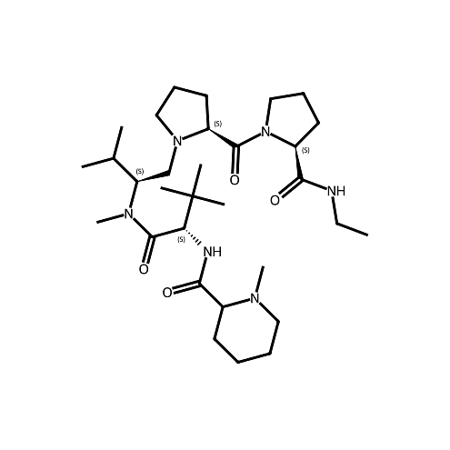 CCNC(=O)[C@@H]1CCCN1C(=O)[C@@H]1CCCN1C[C@H](C(C)C)N(C)C(=O)[C@@H](NC(=O)C1CCCCN1C)C(C)(C)C